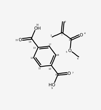 C=C(C)C(=O)OC.O=C(O)c1ccc(C(=O)O)cc1